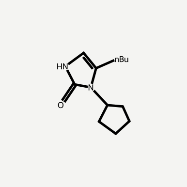 CCCCc1c[nH]c(=O)n1C1CCCC1